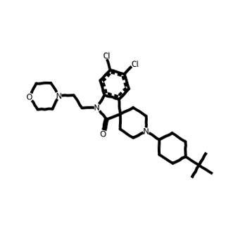 CC(C)(C)C1CCC(N2CCC3(CC2)C(=O)N(CCN2CCOCC2)c2cc(Cl)c(Cl)cc23)CC1